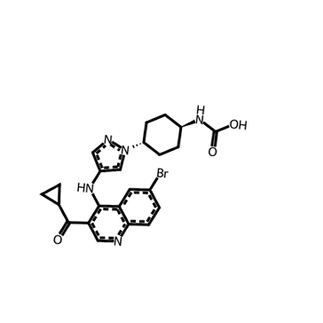 O=C(O)N[C@H]1CC[C@H](n2cc(Nc3c(C(=O)C4CC4)cnc4ccc(Br)cc34)cn2)CC1